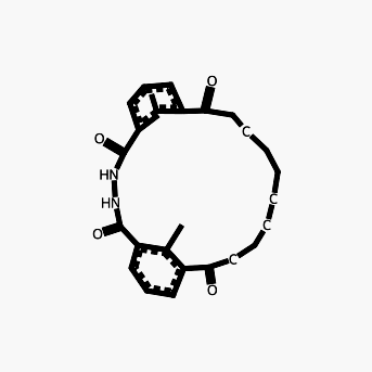 Cc1c2cccc1C(=O)NNC(=O)c1cccc(c1C)C(=O)CCCCCCCCC2=O